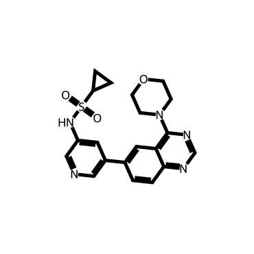 O=S(=O)(Nc1cncc(-c2ccc3ncnc(N4CCOCC4)c3c2)c1)C1CC1